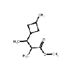 COC(=O)C(C)C(C)C1CC(C)C1